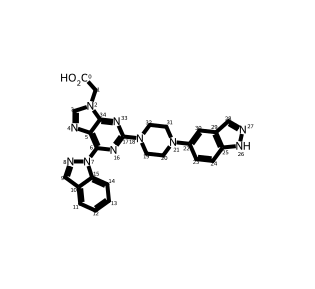 O=C(O)Cn1cnc2c(-n3ncc4ccccc43)nc(N3CCN(c4ccc5[nH]ncc5c4)CC3)nc21